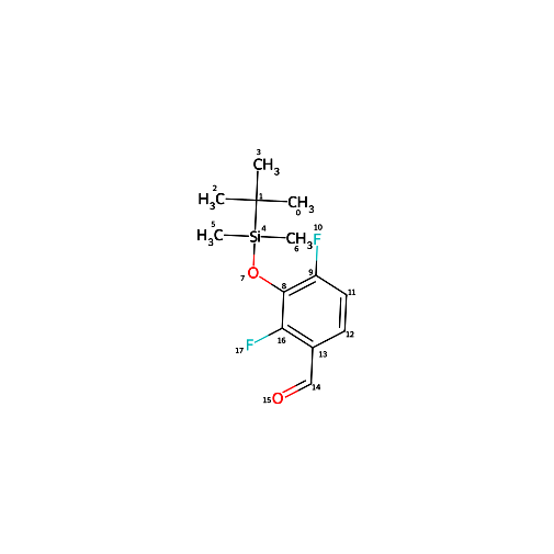 CC(C)(C)[Si](C)(C)Oc1c(F)ccc(C=O)c1F